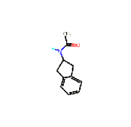 CC(=O)N(F)C1Cc2ccccc2C1